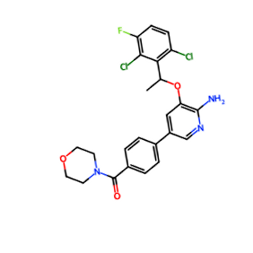 CC(Oc1cc(-c2ccc(C(=O)N3CCOCC3)cc2)cnc1N)c1c(Cl)ccc(F)c1Cl